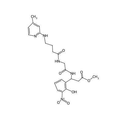 COC(=O)CC(NC(=O)CNC(=O)CCCNc1cc(C)ccn1)c1cccc([N+](=O)[O-])c1O